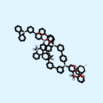 C[C@@H]1CC2CC3(c4ccccc4S(=O)(=O)c4cc(N(c5ccc(-c6cccc(-n7c8ccccc8c8ccccc87)c6)cc5)c5ccccc5-c5ccccc5)ccc43)[C@H](C1)C[C@]2(C)c1cccc(-c2cccc(N(c3ccc(-c4cccc(-n5c6ccccc6c6ccccc65)c4)cc3)c3ccc4c(c3)S(=O)(=O)c3ccccc3C43[C@H]4C[C@@H](C)C[C@@H]3C[C@@H](C)C4)c2)c1